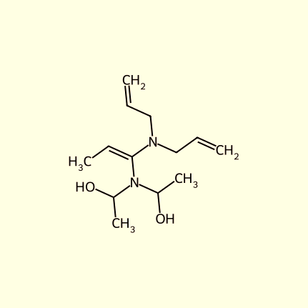 C=CCN(CC=C)C(=CC)N(C(C)O)C(C)O